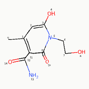 Cc1cc(O)n(CCO)c(=O)c1C(N)=O